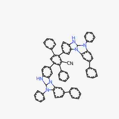 N#Cc1c(-c2ccccc2)c(-c2ccc3c(c2)N2c4cc(-c5ccccc5)ccc4N(c4ccccc4)C2N3)cc(-c2ccccc2)c1-c1ccc2c(c1)N1c3cc(-c4ccccc4)ccc3N(c3ccccc3)C1N2